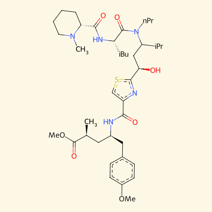 CCCN(C(=O)[C@@H](NC(=O)[C@H]1CCCCN1C)C(C)CC)C(C[C@@H](O)c1nc(C(=O)N[C@@H](Cc2ccc(OC)cc2)C[C@H](C)C(=O)OC)cs1)C(C)C